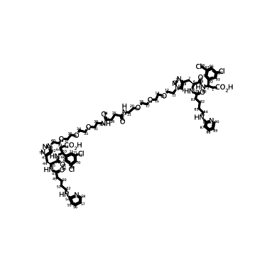 O=C(O)CC(NC(=O)[C@H](Cc1cn(CCOCCOCCOCCNC(=O)CCC(=O)NCCOCCOCCOCCn2cc(C[C@H](NC(=O)CCCCNc3ccccn3)C(=O)NC(CC(=O)O)c3cc(Cl)cc(Cl)c3)nn2)nn1)NC(=O)CCCCNc1ccccn1)c1cc(Cl)cc(Cl)c1